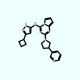 c1cncc(C2CCN(c3nc(Nc4cc(C5CCC5)n[nH]4)n4cccc4n3)C2)c1